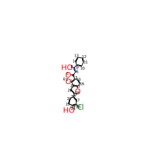 COc1c(C(=O)/C=C(\O)c2ccccc2)ccc2oc(-c3ccc(O)c(Cl)c3)cc12